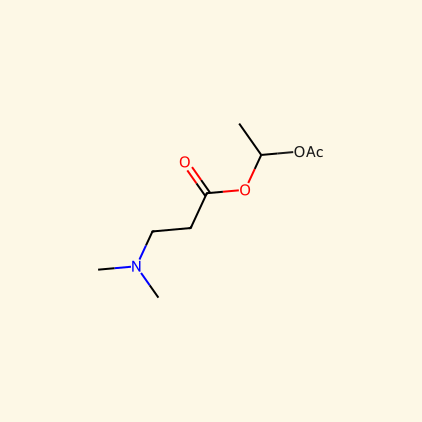 CC(=O)OC(C)OC(=O)CCN(C)C